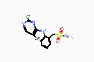 NS(=O)(=O)Cc1ccccc1Nc1nc(Cl)ncc1C(F)(F)F